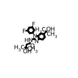 CC(C)(O)CC(=O)Nc1nc2ccc(C(C)(C)O)cc2n1-c1cc(F)cc(F)c1